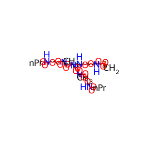 C=CS(=O)(=O)CCC(=O)NCCOCCOCCNC(=O)CN(CCOC(=O)CN(C)CC(=O)OCCOCCNC(=O)OCCC)CCOC(=O)CN(C)CC(=O)OCCOCCNC(=O)OCCC